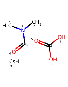 CN(C)C=O.O=C(O)O.[CsH]